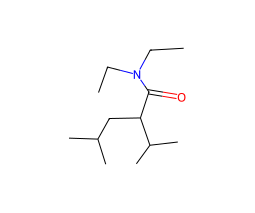 CCN(CC)C(=O)C(CC(C)C)C(C)C